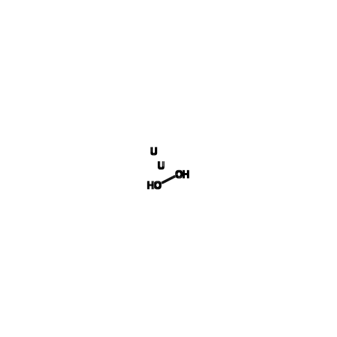 OO.[U].[U]